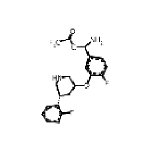 NC(OC(=O)C(F)(F)F)c1ccc(F)c(O[C@@H]2CNC[C@@H](c3ccccc3F)C2)c1